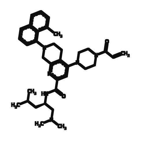 C=CC(=O)N1CCN(c2cc(C(=O)N[C@H](CC(C)C)CN(C)C)nc3c2CCN(c2cccc4cccc(C)c24)C3)CC1